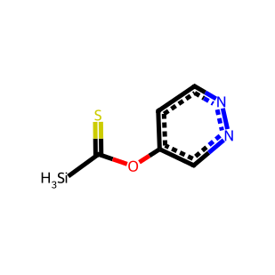 [SiH3]C(=S)Oc1ccnnc1